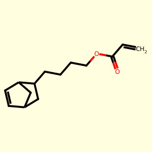 C=CC(=O)OCCCCC1CC2C=CC1C2